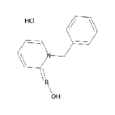 Cl.O/B=C1\C=CC=CN1Cc1ccccc1